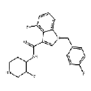 O=C(NC1CCNCC1F)c1cn(Cc2ccc(F)cc2)c2cccc(F)c12